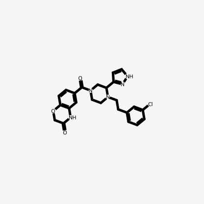 O=C1COc2ccc(C(=O)N3CCN(CCc4cccc(Cl)c4)C(c4cc[nH]n4)C3)cc2N1